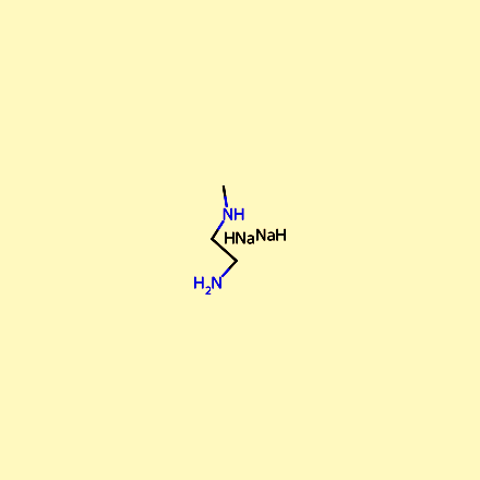 CNCCN.[NaH].[NaH]